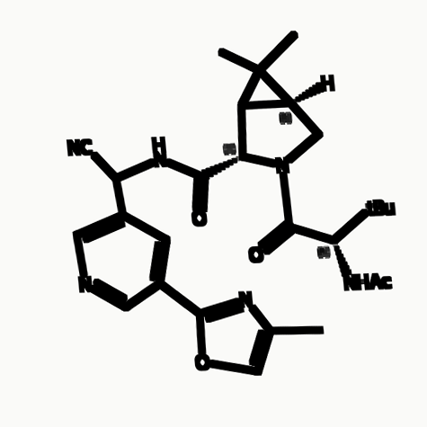 CC(=O)N[C@H](C(=O)N1C[C@H]2C([C@H]1C(=O)NC(C#N)c1cncc(-c3nc(C)co3)c1)C2(C)C)C(C)(C)C